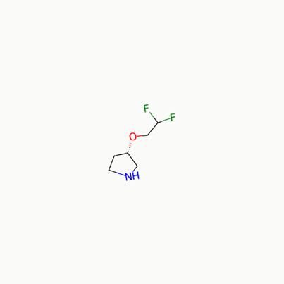 FC(F)CO[C@H]1CCNC1